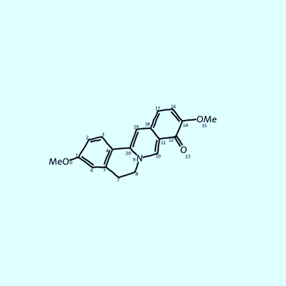 COc1ccc2c(c1)CCn1cc3c(=O)c(OC)ccc-3cc1-2